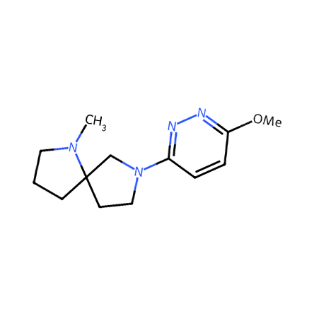 COc1ccc(N2CCC3(CCCN3C)C2)nn1